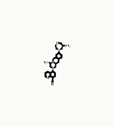 CC1CN(c2ccc(C#N)c3ncccc23)CC2Cc3ccc(N4CCOCC(N)C4)cc3CN12